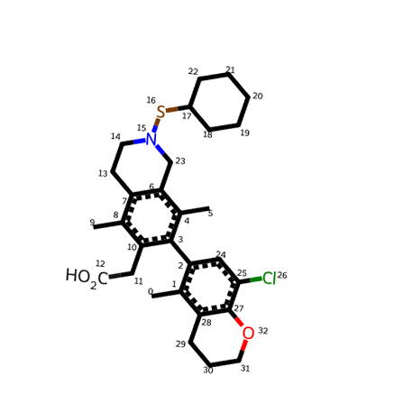 Cc1c(-c2c(C)c3c(c(C)c2CC(=O)O)CCN(SC2CCCCC2)C3)cc(Cl)c2c1CCCO2